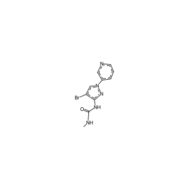 CNC(=O)Nc1nn(-c2cccnc2)cc1Br